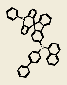 c1ccc(-c2ccc(N(c3ccc4c(c3)-c3ccccc3C43c4ccccc4N(c4ccccc4)c4ccccc43)c3cccc4ccccc34)cc2)cc1